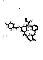 C=CC(=O)Nc1cccc(Oc2nc(NC3=CC(OCC4CCN(C)CC4)CC=C3)ncc2F)c1